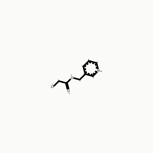 O=C(CCl)OCc1cccnc1